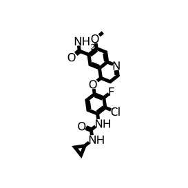 COc1cc2c(cc1C(N)=O)C(Oc1ccc(NC(=O)NC3CC3)c(Cl)c1F)CC=N2